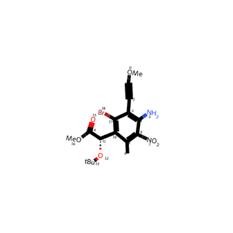 COC#Cc1c(N)c([N+](=O)[O-])c(C)c([C@H](OC(C)(C)C)C(=O)OC)c1Br